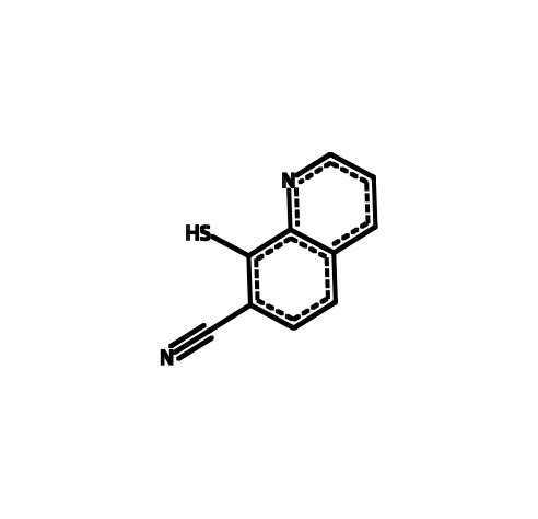 N#Cc1ccc2cccnc2c1S